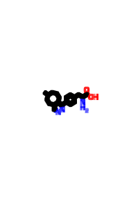 CC1CCCc2c(cnnc2-c2ccc(CC(N)C(=O)O)cc2)CC1